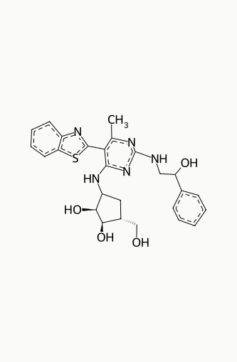 Cc1nc(NCC(O)c2ccccc2)nc(NC2C[C@H](CO)[C@@H](O)[C@H]2O)c1-c1nc2ccccc2s1